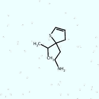 CC(C)C1(CCN)CC=CS1